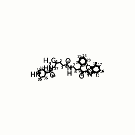 CC(CCC(=O)NCCC(C(=O)c1nc2ccccc2o1)c1ccccc1)CNC(=O)C1CCNCC1